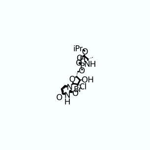 CC(C)OC(=O)[C@H](C)N[PH](=O)OC[C@H]1OC(n2ccc(=O)[nH]c2=O)[C@](Cl)(Br)[C@@H]1O